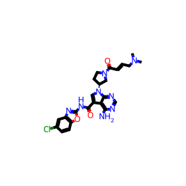 CN(C)C/C=C/C(=O)N1CC[C@@H](n2cc(C(=O)Nc3nc4cc(Cl)ccc4o3)c3c(N)ncnc32)C1